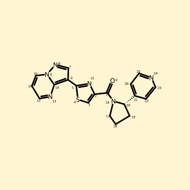 O=C(c1csc(-c2cnn3cccnc23)n1)N1CCC[C@H]1c1ccncc1